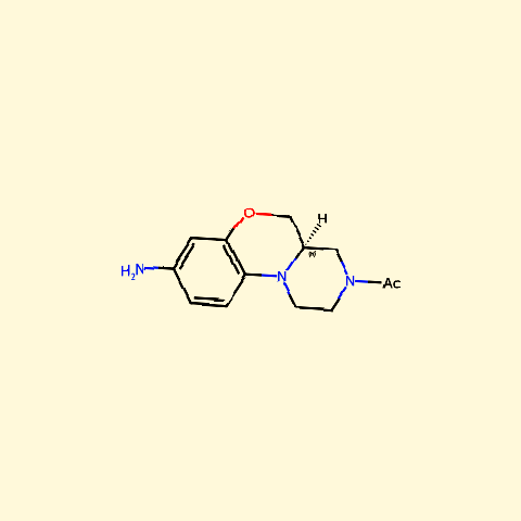 CC(=O)N1CCN2c3ccc(N)cc3OC[C@H]2C1